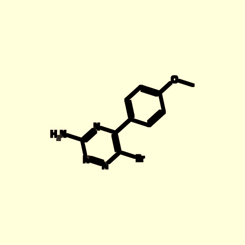 COc1ccc(-c2nc(N)nnc2Br)cc1